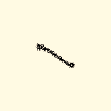 CC(C)(C)OC(=O)N[C@H]1C[C@H](COCCOCCOCCOCCOCCOCc2ccccc2)C1